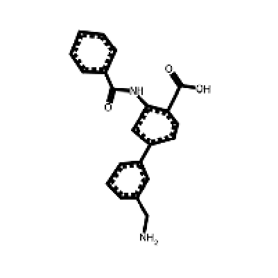 NCc1cccc(-c2ccc(C(=O)O)c(NC(=O)c3ccccc3)c2)c1